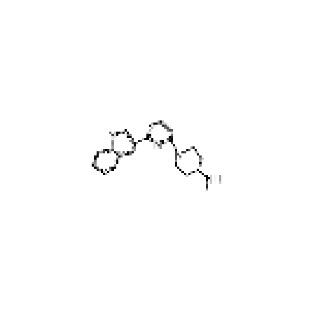 CNC1CCN(c2cccc(-c3cnc4ccccc4c3)n2)CC1